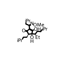 CC[C@@H](CCC(C)C)[C@@]1(O)C(O)=C(/C(CC(C)C)=N\OC)C(=O)[C@@H]1CCC(C)C